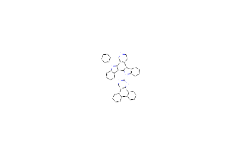 c1ccc(-n2c3ccccc3c3c2c2cnccc2c2c4ccccc4n(-c4ncc5c6ccccc6c6ccccc6c5n4)c23)cc1